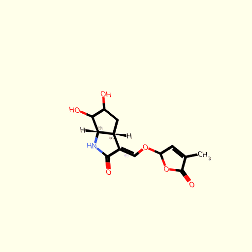 CC1=CC(O/C=C2/C(=O)N[C@@H]3C(O)C(O)C[C@H]23)OC1=O